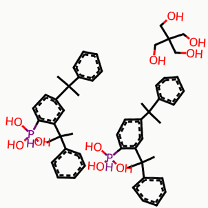 CC(C)(c1ccccc1)c1ccc([PH](O)(O)O)c(C(C)(C)c2ccccc2)c1.CC(C)(c1ccccc1)c1ccc([PH](O)(O)O)c(C(C)(C)c2ccccc2)c1.OCC(CO)(CO)CO